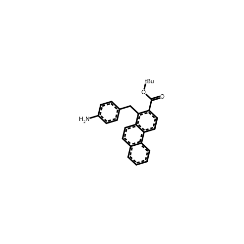 CC(C)(C)OC(=O)c1ccc2c(ccc3ccccc32)c1Cc1ccc(N)cc1